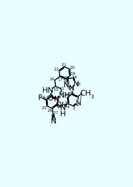 Cc1ncc(Nc2nc(NC(CNC(=O)O)Cc3ccccc3)c(F)cc2C#N)cc1-n1nccn1